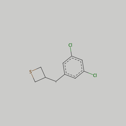 Clc1cc(Cl)cc([CH]C2CSC2)c1